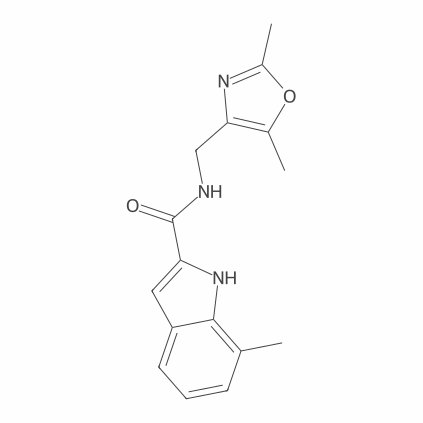 Cc1nc(CNC(=O)c2cc3cccc(C)c3[nH]2)c(C)o1